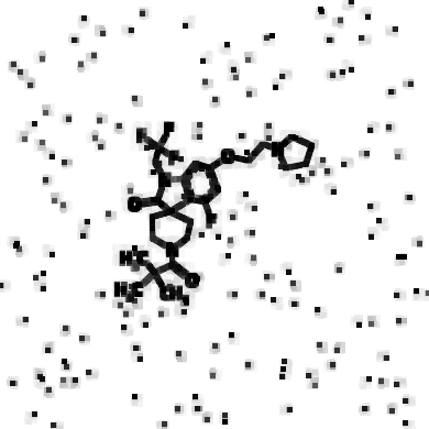 CC(C)(C)C(=O)N1CCC2(CC1)C(=O)N(CC(F)(F)F)c1cc(OCCN3CCCC3)cc(F)c12